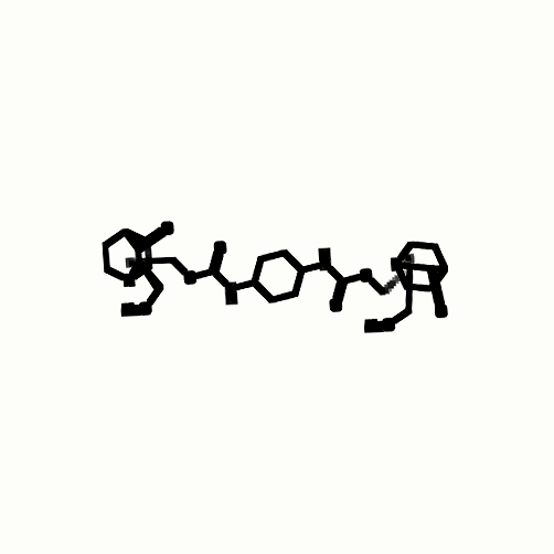 COC[C@]1(COC(=O)NC2CCC(NC(=O)OC[C@@]3(COC)C(=O)C4CCN3CC4)CC2)C(=O)C2CCN1CC2